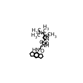 C[C@H](c1cc(S(=O)(=O)NCC(=O)Nc2c3c(cc4c2CCC4)CCC3)nn1C)N(C)C